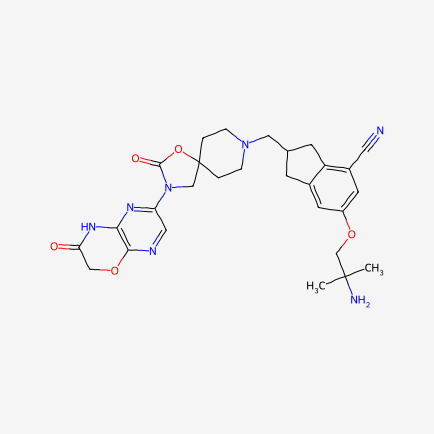 CC(C)(N)COc1cc(C#N)c2c(c1)CC(CN1CCC3(CC1)CN(c1cnc4c(n1)NC(=O)CO4)C(=O)O3)C2